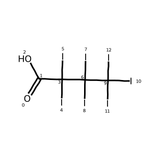 O=C(O)C(I)(I)C(I)(I)C(I)(I)I